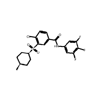 C[C@H]1CC[C@@H](S(=O)(=O)c2cc(C(=O)Nc3cc(F)c(F)c(F)c3)ccc2Cl)CC1